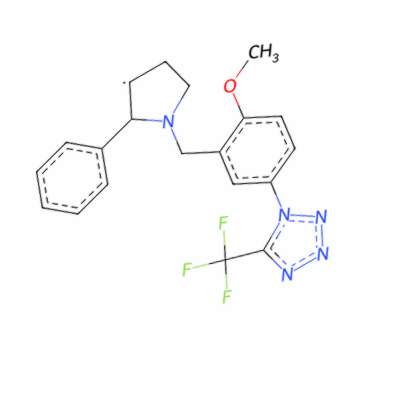 COc1ccc(-n2nnnc2C(F)(F)F)cc1CN1CC[CH]C1c1ccccc1